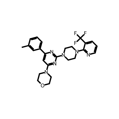 Cc1cccc(-c2cc(N3CCOCC3)nc(N3CCN(c4ncccc4C(F)(F)F)CC3)n2)c1